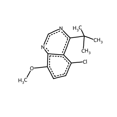 COc1ccc(Cl)c2c(C(C)(C)C)ncnc12